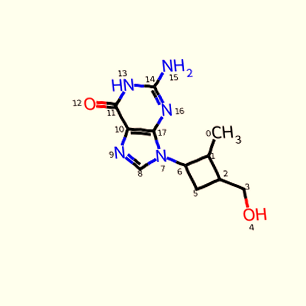 CC1C(CO)CC1n1cnc2c(=O)[nH]c(N)nc21